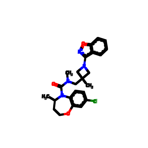 CC1CCOc2cc(Cl)ccc2N1C(=O)N(C)CC1(C)CN(c2noc3ccccc23)C1